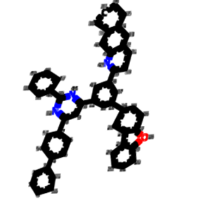 c1ccc(-c2ccc(-c3cc(-c4cc(-c5ccc6oc7ccccc7c6c5)cc(-c5ccc6cc7ccccc7cc6n5)c4)nc(-c4ccccc4)n3)cc2)cc1